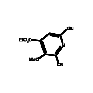 CCOC(=O)c1cc(C(C)(C)C)nc(C#N)c1OC